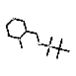 CN1CCSCC1CO[Si](C)(C)C(C)(C)C